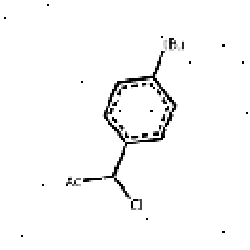 CC(=O)C(Cl)c1ccc(C(C)(C)C)cc1